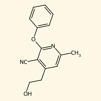 Cc1cc(CCO)c(C#N)c(Oc2ccccc2)n1